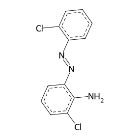 Nc1c(Cl)cccc1N=Nc1ccccc1Cl